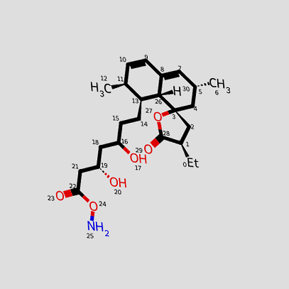 CC[C@@H]1C[C@@]2(C[C@@H](C)C=C3C=C[C@H](C)[C@H](CCC(O)C[C@H](O)CC(=O)ON)[C@H]32)OC1=O